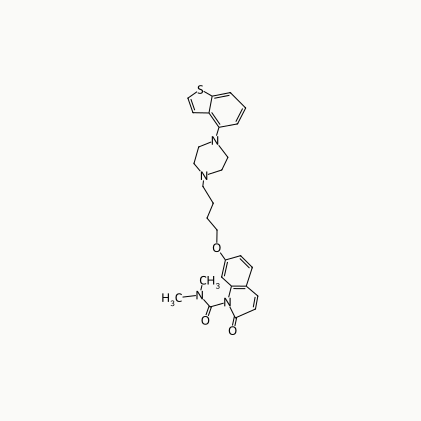 CN(C)C(=O)n1c(=O)ccc2ccc(OCCCCN3CCN(c4cccc5sccc45)CC3)cc21